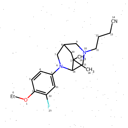 CCOc1ccc(N2CC3CN(CCCC#N)CC2C(C)(C)C3)cc1F